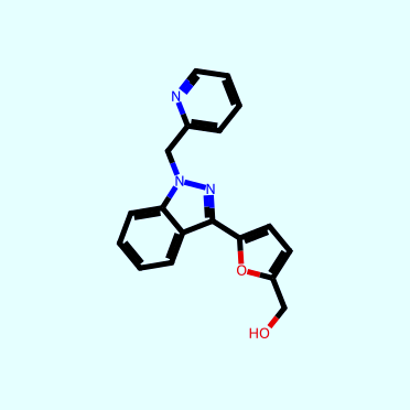 OCc1ccc(-c2nn(Cc3ccccn3)c3ccccc23)o1